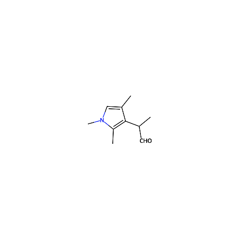 Cc1cn(C)c(C)c1C(C)C=O